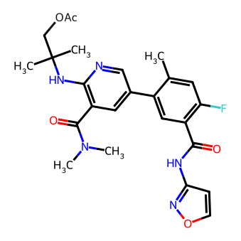 CC(=O)OCC(C)(C)Nc1ncc(-c2cc(C(=O)Nc3ccon3)c(F)cc2C)cc1C(=O)N(C)C